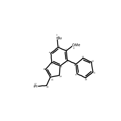 COc1c(C(C)(C)C)cc2c(c1-c1ccccc1)CC(CC(C)C)=C2